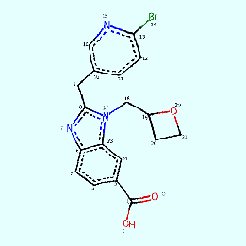 O=C(O)c1ccc2nc(Cc3ccc(Br)nc3)n(CC3CCO3)c2c1